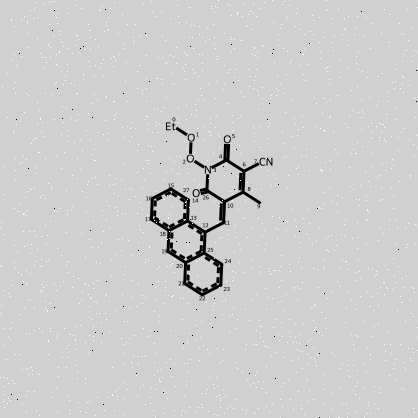 CCOON1C(=O)C(C#N)=C(C)/C(=C/c2c3ccccc3cc3ccccc23)C1=O